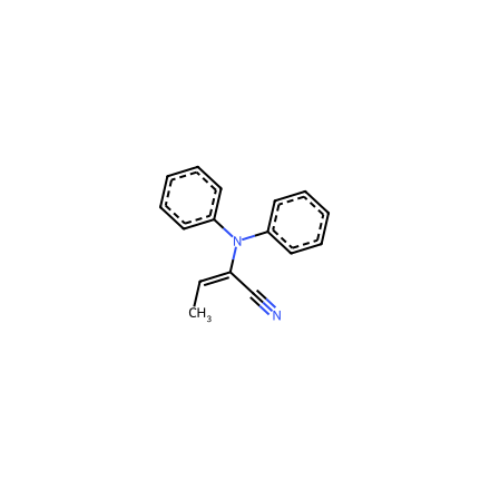 CC=C(C#N)N(c1ccccc1)c1ccccc1